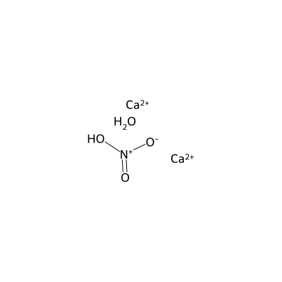 O.O=[N+]([O-])O.[Ca+2].[Ca+2]